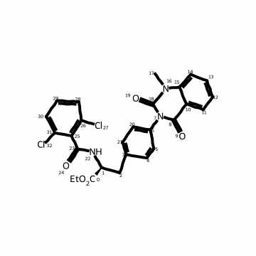 CCOC(=O)[C@H](Cc1ccc(-n2c(=O)c3ccccc3n(C)c2=O)cc1)NC(=O)c1c(Cl)cccc1Cl